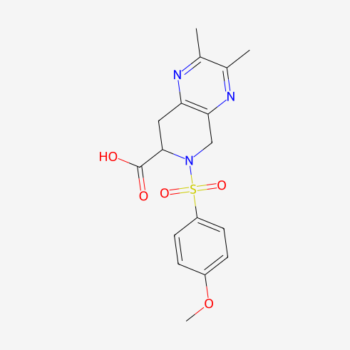 COc1ccc(S(=O)(=O)N2Cc3nc(C)c(C)nc3CC2C(=O)O)cc1